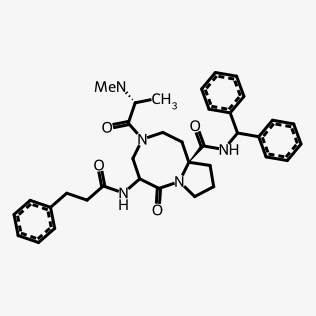 CN[C@H](C)C(=O)N1CC[C@]2(C(=O)NC(c3ccccc3)c3ccccc3)CCCN2C(=O)C(NC(=O)CCc2ccccc2)C1